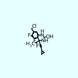 CC(F)(F)C1(C#CC2CC2)NC(O)Nc2cc(CCl)c(F)cc21